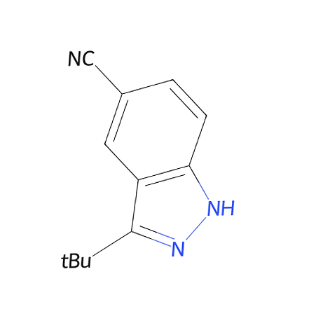 CC(C)(C)c1n[nH]c2ccc(C#N)cc12